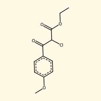 CCOC(=O)C(Cl)C(=O)c1ccc(OC)cc1